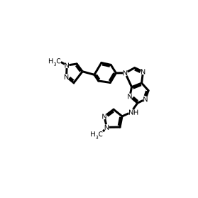 Cn1cc(Nc2ncc3ncn(-c4ccc(-c5cnn(C)c5)cc4)c3n2)cn1